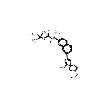 CO[C@H]1CC[C@](/C=C/c2ccc3ccc([C@@H](C)NC(=O)OC(C)(C)C)nc3c2)(C(=O)O)CC1